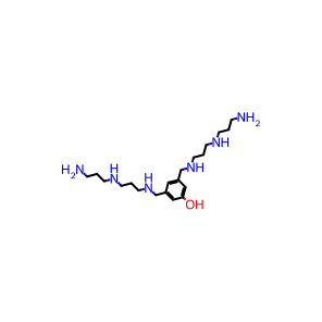 NCCCNCCCNCc1cc(O)cc(CNCCCNCCCN)c1